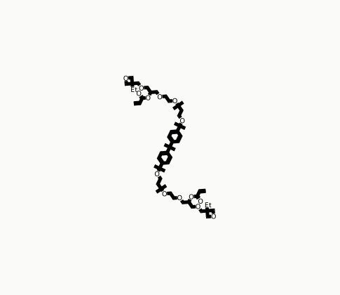 C=CC(=O)OC(COCCOC(C)(C)CCOC(C)(C)c1ccc(C(C)(C)c2ccc(C(C)(C)OCCC(C)(C)OCCOCC(COCC3(CC)COC3)OC(=O)C=C)cc2)cc1)COCC1(CC)COC1